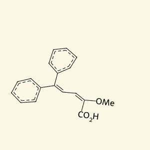 COC(=CC=C(c1ccccc1)c1ccccc1)C(=O)O